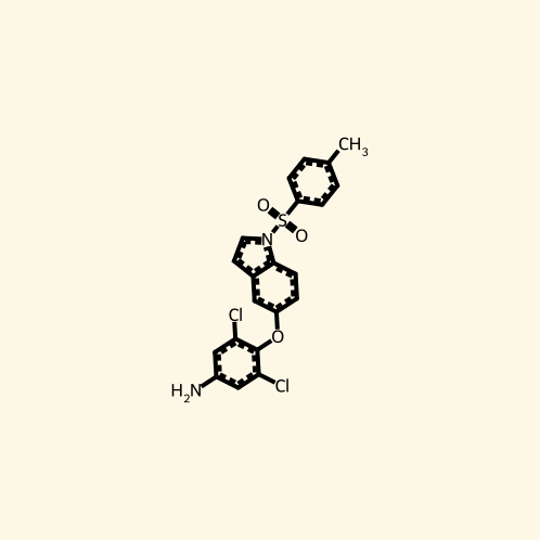 Cc1ccc(S(=O)(=O)n2ccc3cc(Oc4c(Cl)cc(N)cc4Cl)ccc32)cc1